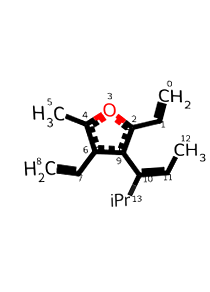 C=Cc1oc(C)c(C=C)c1/C(=C\C)C(C)C